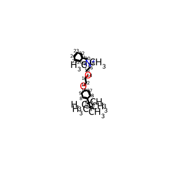 CC(C)(C)C(C)(C)C1=CCC(OCCOCC[N+](C)(C)Cc2ccccc2)C=C1